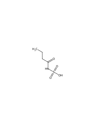 CCCC(=O)NS(=O)(=O)O